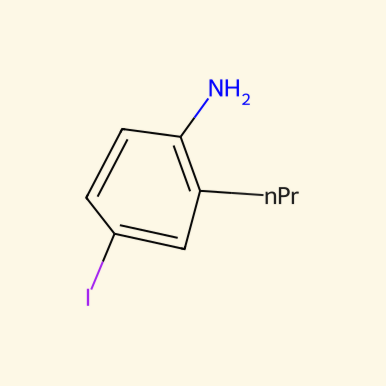 CCCc1cc(I)ccc1N